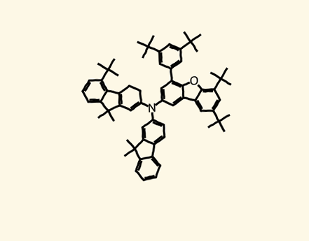 CC(C)(C)c1cc(-c2cc(N(C3=CC4=C(CC3)c3c(C(C)(C)C)cccc3C4(C)C)c3ccc4c(c3)C(C)(C)c3ccccc3-4)cc3c2oc2c(C(C)(C)C)cc(C(C)(C)C)cc23)cc(C(C)(C)C)c1